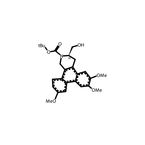 COc1ccc2c3c(c4cc(OC)c(OC)cc4c2c1)C[C@H](CO)N(C(=O)OC(C)(C)C)C3